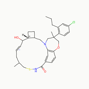 CCCc1cc(Cl)ccc1C1(C)COc2ccc3cc2N(CC2CC[C@H]2C(O)/C=C/CC(C)CSNC3=O)C1